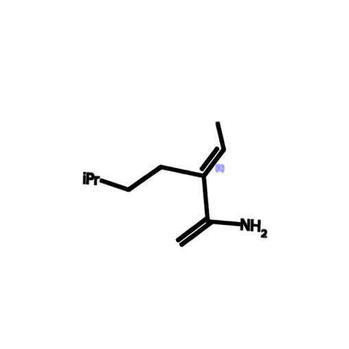 C=C(N)/C(=C/C)CCC(C)C